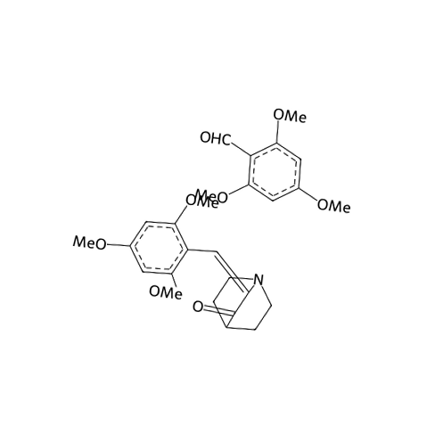 COc1cc(OC)c(/C=C2\C(=O)C3CCN2CC3)c(OC)c1.COc1cc(OC)c(C=O)c(OC)c1